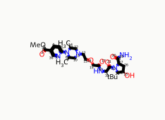 COC(=O)c1ccc(N2[C@H](C)CN(CCOCC(=O)N[C@H](C(=O)N3C[C@H](O)CC3C(N)=O)C(C)(C)C)C[C@@H]2C)nc1